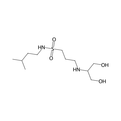 CC(C)CCNS(=O)(=O)CCCNC(CO)CO